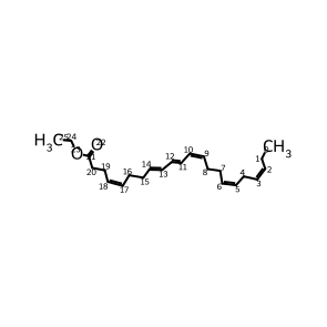 CC/C=C\C/C=C\CC\C=C/C=C/C=C/CC/C=C\CCC(=O)OCC